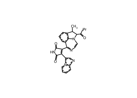 CC(C)C(=O)C1C(C)c2cccc3c2N1C=CN=C3C1=C(c2cnc3ccccn23)C(=O)NC1=O